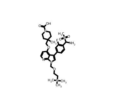 CC1(COc2ccnc3c2c(-c2ccc(C(N)S(C)(=O)=O)c(F)c2)cn3COCC[Si](C)(C)C)CCN(C(=O)O)CC1